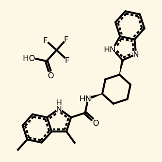 Cc1ccc2[nH]c(C(=O)N[C@@H]3CCC[C@H](c4nc5ccccc5[nH]4)C3)c(C)c2c1.O=C(O)C(F)(F)F